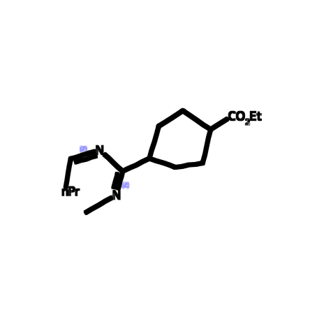 CCC/C=N\C(=N/C)C1CCC(C(=O)OCC)CC1